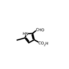 Cc1cc(C(=O)O)c(C=O)[nH]1